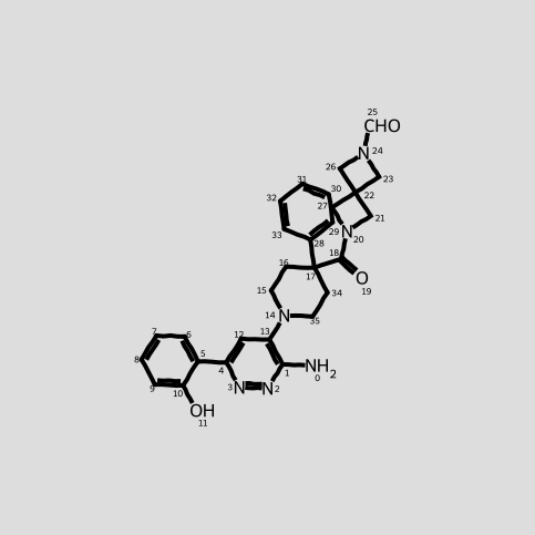 Nc1nnc(-c2ccccc2O)cc1N1CCC(C(=O)N2CC3(CN(C=O)C3)C2)(c2ccccc2)CC1